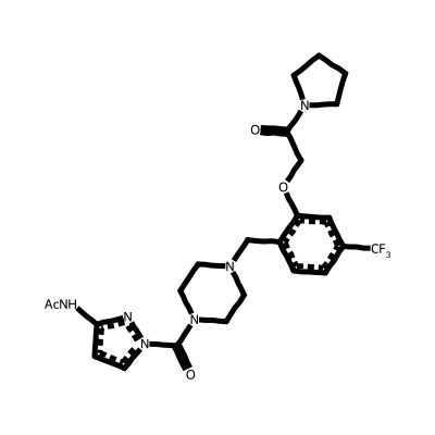 CC(=O)Nc1ccn(C(=O)N2CCN(Cc3ccc(C(F)(F)F)cc3OCC(=O)N3CCCC3)CC2)n1